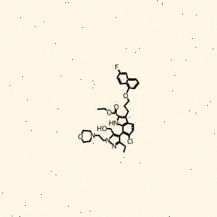 CCOC(=O)c1[nH]c2c(-c3c(CC)nn(CCN4CCOCC4)c3CO)c(Cl)ccc2c1CCCOc1cccc2cc(F)ccc12